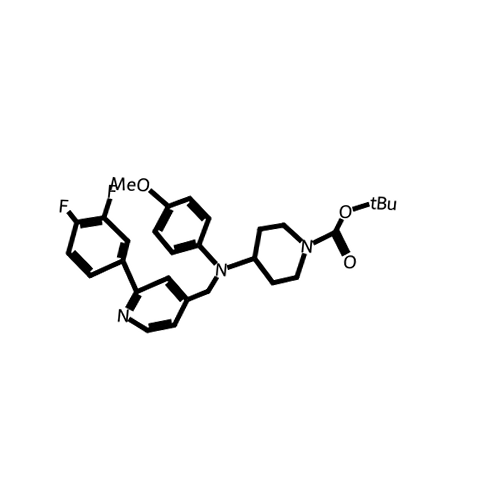 COc1ccc(N(Cc2ccnc(-c3ccc(F)c(F)c3)c2)C2CCN(C(=O)OC(C)(C)C)CC2)cc1